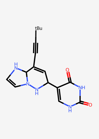 CC(C)(C)C#CC1=CC(c2c[nH]c(=O)[nH]c2=O)NN2C=CNC12